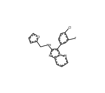 Fc1cc(-c2c(NCc3ccco3)nc3cccnn23)ccc1Cl